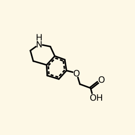 O=C(O)COc1ccc2c(c1)CNCC2